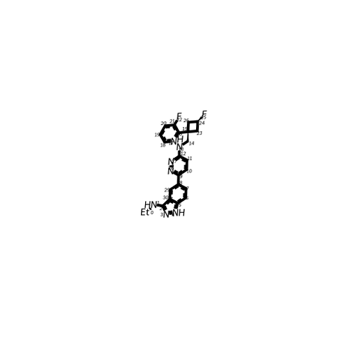 CCNc1n[nH]c2ccc(-c3ccc(NC[C@]4(c5ncccc5F)C[C@H](F)C4)nn3)cc12